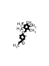 CCC(=O)c1ccc(OCc2c(C)c(C)c(C)c(C)c2C)cc1